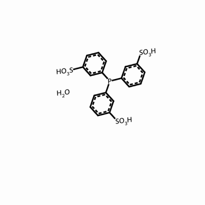 O.O=S(=O)(O)c1cccc(P(c2cccc(S(=O)(=O)O)c2)c2cccc(S(=O)(=O)O)c2)c1